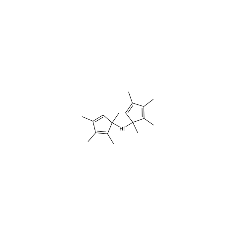 CC1=C[C](C)([Hf][C]2(C)C=C(C)C(C)=C2C)C(C)=C1C